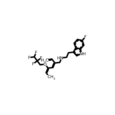 C=C/C(=C\C(=C/C)OCC(F)(F)C(F)F)CNCCc1c[nH]c2cc(F)ccc12